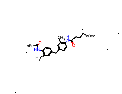 CCCCCCCCCCCCCC(=O)Nc1ccc(Cc2ccc(NC(=O)CCCC)c(C)c2)cc1C